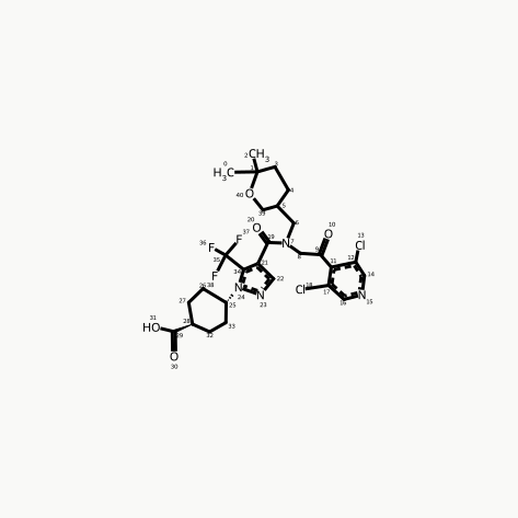 CC1(C)CCC(CN(CC(=O)c2c(Cl)cncc2Cl)C(=O)c2cnn([C@H]3CC[C@H](C(=O)O)CC3)c2C(F)(F)F)CO1